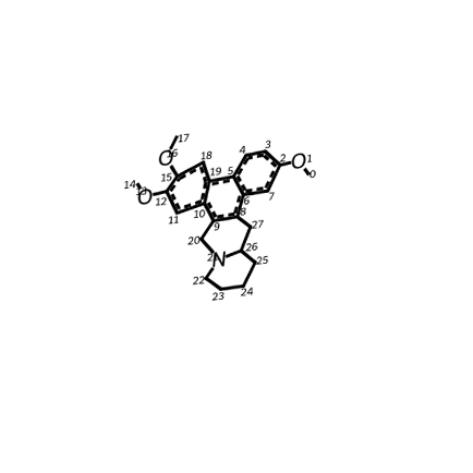 COc1ccc2c(c1)c1c(c3cc(OC)c(OC)cc32)CN2CCCCC2C1